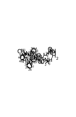 CC(C)(C)NC(=O)[C@H](CCCNC(N)=O)NC(=O)[C@H](Cc1c[nH]c2ccccc12)NC(=O)[C@@H]1CCCCN1C(=O)[C@H](Cc1ccccc1)NC(=O)CCl